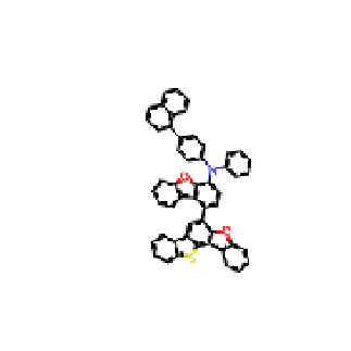 c1ccc(N(c2ccc(-c3cccc4ccccc34)cc2)c2ccc(-c3cc4c5ccccc5sc4c4c3oc3ccccc34)c3c2oc2ccccc23)cc1